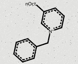 CCCCCCCCc1ccc[n+](Cc2ccccc2)c1